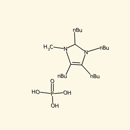 CCCCC1=C(CCCC)N(CCCC)C(CCCC)N1C.O=P(O)(O)O